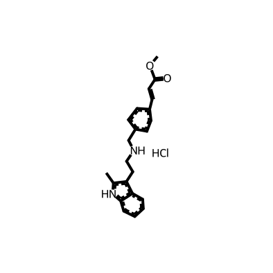 COC(=O)/C=C/c1ccc(CNCCc2c(C)[nH]c3ccccc23)cc1.Cl